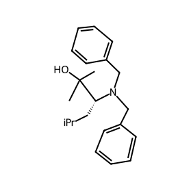 CC(C)C[C@@H](N(Cc1ccccc1)Cc1ccccc1)C(C)(C)O